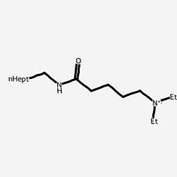 CCCCCCCCNC(=O)CCCC[N+](CC)CC